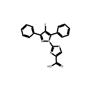 O=C(O)c1csc(-n2nc(-c3ccccc3)c(F)c2-c2ccccc2)n1